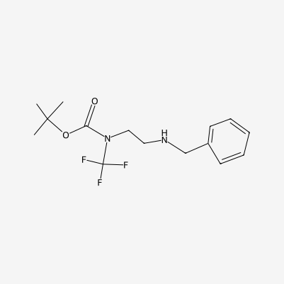 CC(C)(C)OC(=O)N(CCNCc1ccccc1)C(F)(F)F